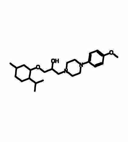 COc1ccc(N2CCN(CC(O)COC3CC(C)CCC3C(C)C)CC2)cc1